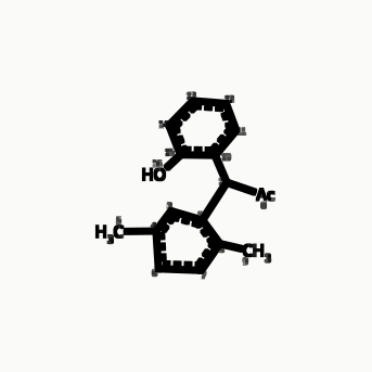 CC(=O)C(c1cc(C)ccc1C)c1ccccc1O